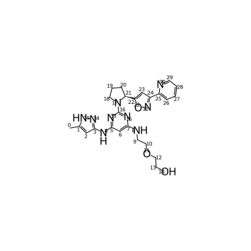 Cc1cc(Nc2cc(NCCOCCO)nc(N3CCC[C@H]3c3cc(-c4ccccn4)no3)n2)n[nH]1